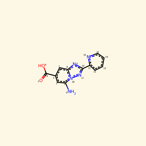 Nc1cc(C(=O)O)cc2nc(-c3ccccn3)nn12